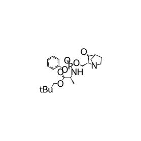 C[C@H](NP(=O)(OC[C@H]1C(=O)C2CCN1C2)Oc1ccccc1)C(=O)OCC(C)(C)C